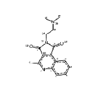 Cc1nc2ccccc2c2c1C(=O)N(CCN(C)C)C2=O